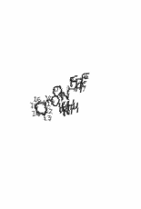 O=C(NCC[B-](F)(F)F)OCc1ccccc1.[KH].[KH]